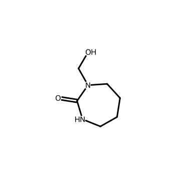 O=C1NCCCCN1CO